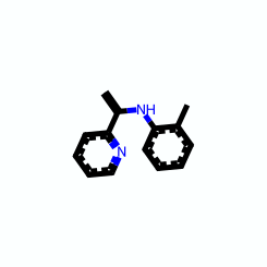 C=C(Nc1ccccc1C)c1ccccn1